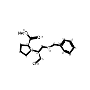 COC(=O)[C@@H]1CCCN1[C@H](CCl)COCc1ccccc1